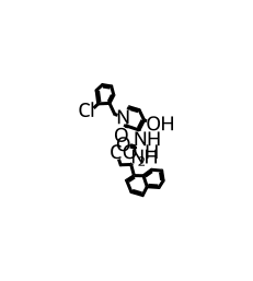 O=C(O)CC(NC(=O)Nc1c(O)ccn(Cc2ccccc2Cl)c1=O)c1cccc2ccccc12